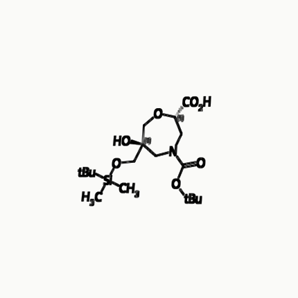 CC(C)(C)OC(=O)N1C[C@@H](C(=O)O)OC[C@@](O)(CO[Si](C)(C)C(C)(C)C)C1